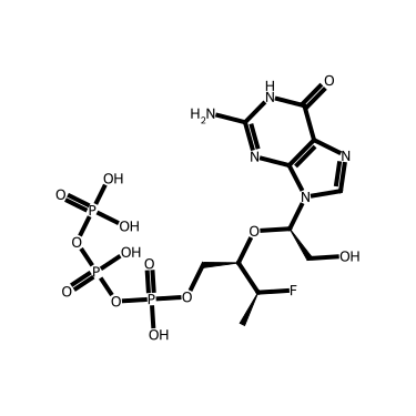 C[C@H](F)[C@@H](COP(=O)(O)OP(=O)(O)OP(=O)(O)O)O[C@H](CO)n1cnc2c(=O)[nH]c(N)nc21